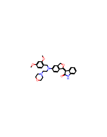 COc1ccc(CN(CCN2CCOCC2)c2ccc3c(c2)COC3=C2C(=O)Nc3ccccc32)c(OC)c1